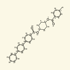 Cc1ccc(C(=O)OC2CCC(OC(=O)c3ccc(-c4ccc(-c5ccccc5)cc4)cc3)CC2)cc1